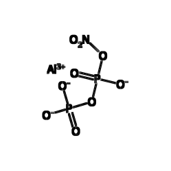 O=[N+]([O-])OP(=O)([O-])OP(=O)([O-])[O-].[Al+3]